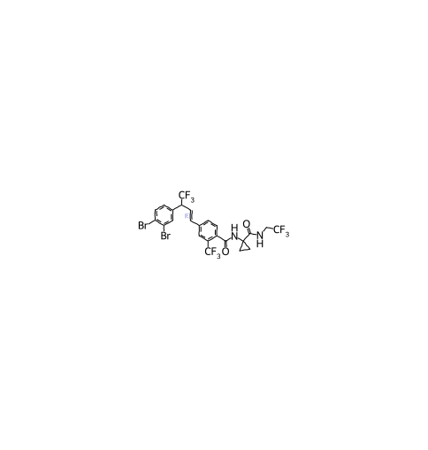 O=C(NC1(C(=O)NCC(F)(F)F)CC1)c1ccc(/C=C/C(c2ccc(Br)c(Br)c2)C(F)(F)F)cc1C(F)(F)F